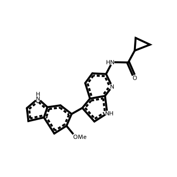 COc1cc2cc[nH]c2cc1-c1c[nH]c2nc(NC(=O)C3CC3)ccc12